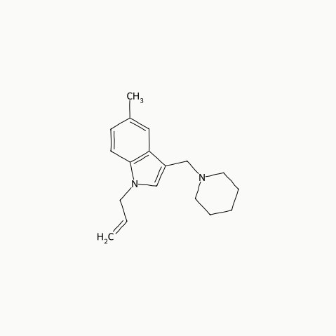 C=CCn1cc(CN2CCCCC2)c2cc(C)ccc21